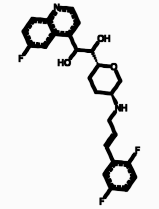 OC(c1ccnc2ccc(F)cc12)C(O)[C@H]1CC[C@H](NCC=Cc2cc(F)ccc2F)CO1